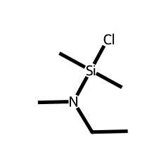 CCN(C)[Si](C)(C)Cl